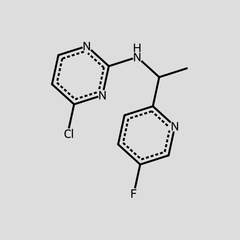 CC(Nc1nccc(Cl)n1)c1ccc(F)cn1